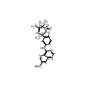 COc1cnc2c(Nc3ccc(F)c([C@]4(C)CS(=O)(=O)C(C)(C)C(N)=N4)c3)ncnc2c1